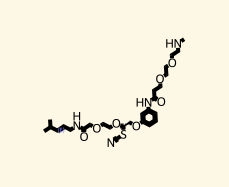 CNCCOCCOCCC(=O)Nc1cccc(OC[C@H](OCCOCC(=O)NC/C=C/C(C)C)SC#N)c1